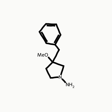 COC1(Cc2ccccc2)CCN(N)C1